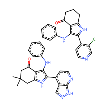 CC1(C)CC(=O)c2c([nH]c(-c3ccnc4[nH]ncc34)c2Nc2ccccc2)C1.O=C1CCCc2[nH]c(-c3ccncc3Cl)c(Nc3ccccc3)c21